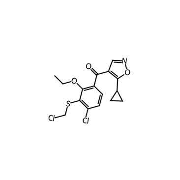 CCOc1c(C(=O)c2cnoc2C2CC2)ccc(Cl)c1SCCl